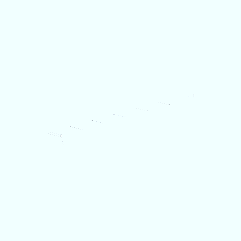 [CH]=C(C)CCCCCCCCCCCCCCCCCC